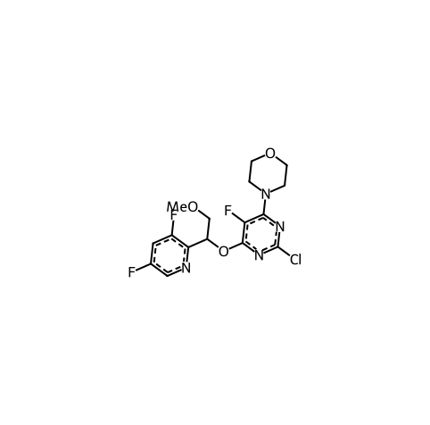 COCC(Oc1nc(Cl)nc(N2CCOCC2)c1F)c1ncc(F)cc1F